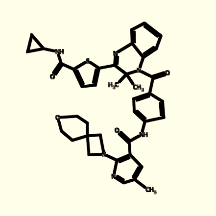 Cc1cnc(N2CC3(CCOCC3)C2)c(C(=O)Nc2ccc(C(=O)N3c4ccccc4N=C(c4ccc(C(=O)NC5CC5)s4)C3(C)C)cc2)c1